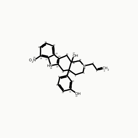 C=CCN1CCC2(c3cccc(O)c3)Cc3[nH]c4c([N+](=O)[O-])cccc4c3CC2(O)C1